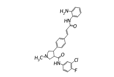 CN1CC(C(=O)Nc2ccc(F)c(Cl)c2)C(c2ccc(/C=C/C(=O)Nc3ccccc3N)cc2)C1